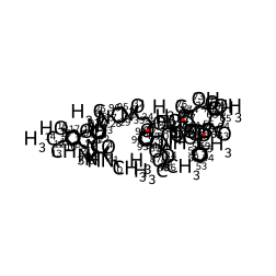 CCNC(=O)c1nnc(-c2cc(C(C)C)c(O)cc2O)n1-c1ccc(N(C)C2CCN(C(=O)CCC(=O)O[C@H](C(=O)O[C@@H]3C[C@]4(O)[C@H](OC(O)c5ccccc5)[C@@]56B(C(C)=O)C57COC7C[C@@H](O)[C@]6(C)C(=O)[C@@H](O)C(=C3C)C4(C)C)[C@H](NC(=O)OC(C)(C)C)c3ccccc3)CC2)nc1